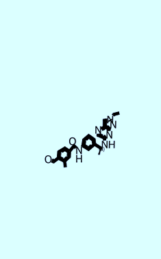 CCn1cc2ncc(N[C@@H](C)c3cccc(NC(=O)c4ccc(C=O)c(C)c4)c3)nc2n1